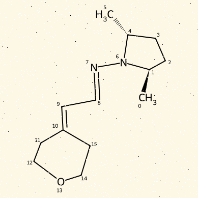 C[C@@H]1CC[C@@H](C)N1/N=C/C=C1CCOCC1